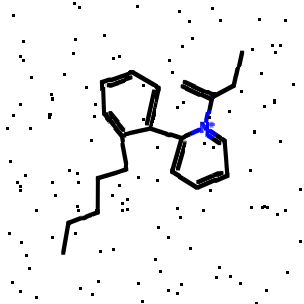 C=C(CC)[n+]1ccccc1-c1ccccc1CCCCC